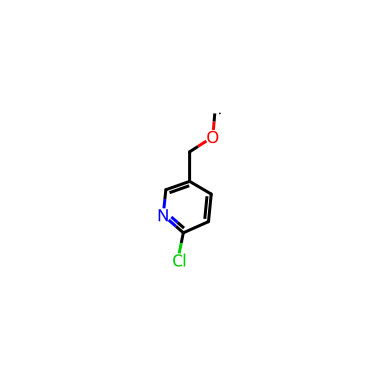 [CH2]OCc1ccc(Cl)nc1